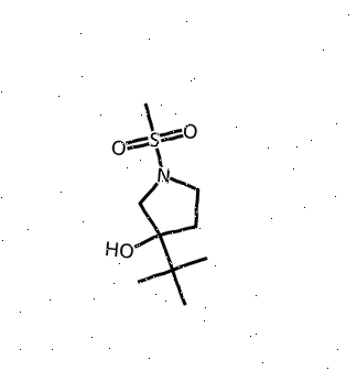 CC(C)(C)C1(O)CCN(S(C)(=O)=O)C1